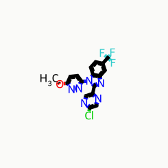 COc1ccc(-n2c(-c3cnc(Cl)cn3)nc3cc(C(F)(F)F)ccc32)nn1